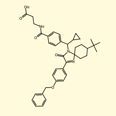 CC(C)(C)C1CCC2(CC1)N=C(c1ccc(OCc3ccccc3)cc1)C(=O)N2C(c1ccc(C(=O)NCCC(=O)O)cc1)C1CC1